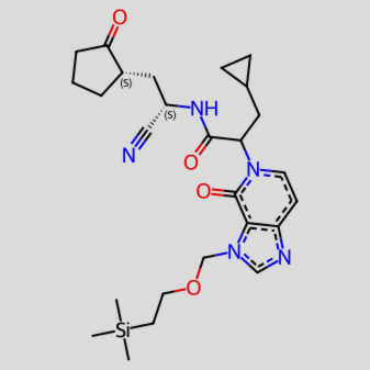 C[Si](C)(C)CCOCn1cnc2ccn(C(CC3CC3)C(=O)N[C@H](C#N)C[C@@H]3CCCC3=O)c(=O)c21